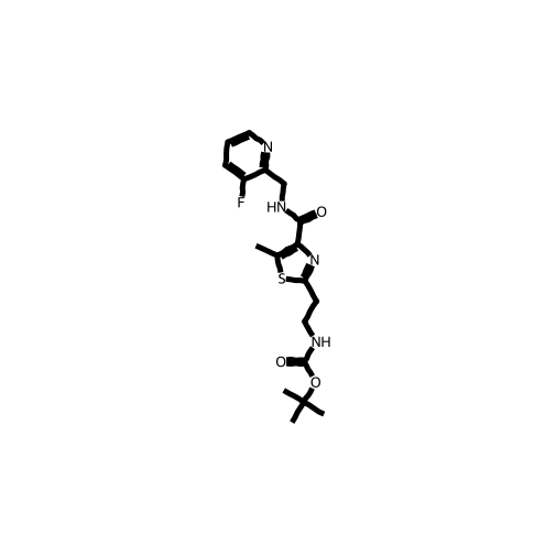 Cc1sc(CCNC(=O)OC(C)(C)C)nc1C(=O)NCc1ncccc1F